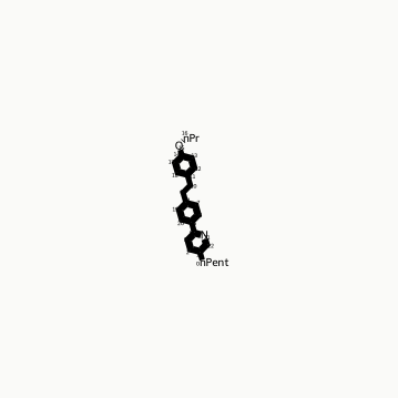 CCCCCc1ccc(-c2ccc(CCc3ccc(OCCC)cc3)cc2)nc1